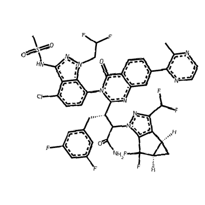 Cc1nccnc1-c1ccc2c(=O)n(-c3ccc(Cl)c4c(NS(C)(=O)=O)nn(CC(F)F)c34)c([C@@H](Cc3cc(F)cc(F)c3)C(C(N)=O)n3nc(C(F)F)c4c3C(F)(F)[C@@H]3C[C@H]43)nc2c1